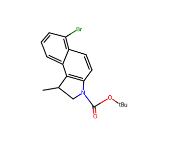 CC1CN(C(=O)OC(C)(C)C)c2ccc3c(Br)cccc3c21